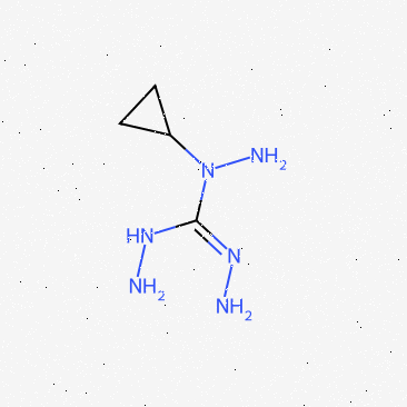 N/N=C(\NN)N(N)C1CC1